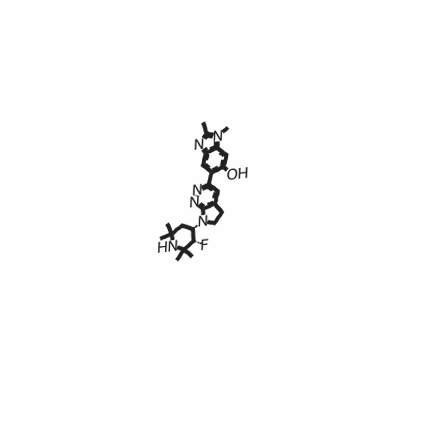 Cc1nc2cc(-c3cc4c(nn3)N([C@H]3CC(C)(C)NC(C)(C)[C@H]3F)CC4)c(O)cc2n1C